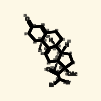 CC(=O)O[C@]1(C(=O)C(Br)Br)CC[C@H]2[C@@H]3CCC4=CC(=O)CC[C@]4(C)C3=CC[C@@]21C